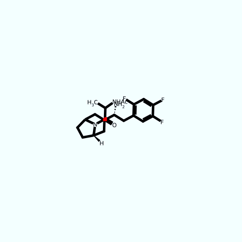 CC(=O)NC(C)C(=O)N1C2CC[C@H]1CC([C@H](N)Cc1cc(F)c(F)cc1F)C2